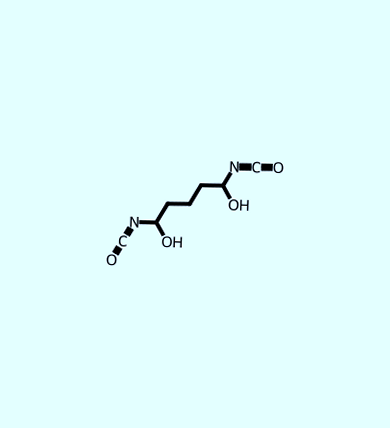 O=C=NC(O)CCCC(O)N=C=O